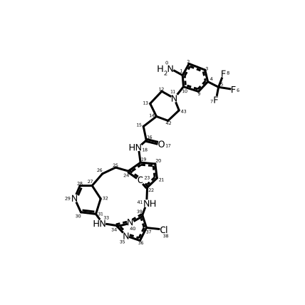 Nc1ccc(C(F)(F)F)cc1N1CCC(CC(=O)Nc2ccc3cc2CCC2C=NC=C(C2)Nc2ncc(Cl)c(n2)N3)CC1